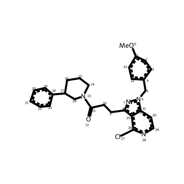 COc1ccc(Cn2nc(CCC(=O)N3CCCC(c4ccccc4)C3)c3c(Cl)nccc32)cc1